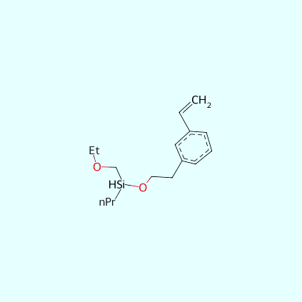 C=Cc1cccc(CCO[SiH](CCC)COCC)c1